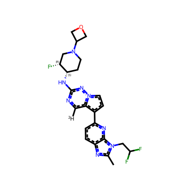 [2H]c1nc(N[C@H]2CCN(C3COC3)C[C@H]2F)nn2ccc(-c3ccc4nc(C)n(CC(F)F)c4n3)c12